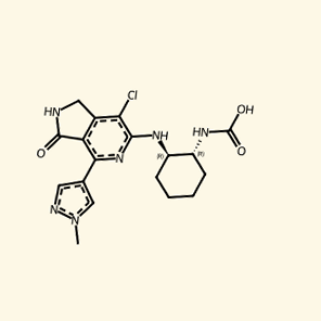 Cn1cc(-c2nc(N[C@@H]3CCCC[C@H]3NC(=O)O)c(Cl)c3c2C(=O)NC3)cn1